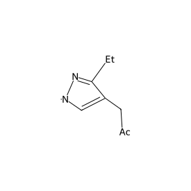 CCC1=N[N]C=C1CC(C)=O